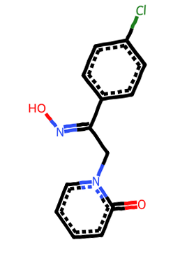 O=c1ccccn1CC(=NO)c1ccc(Cl)cc1